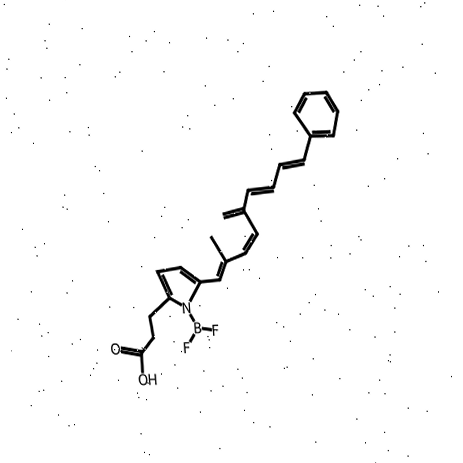 C=C(/C=C\C(C)=C\c1ccc(CCC(=O)O)n1B(F)F)/C=C/C=C/c1ccccc1